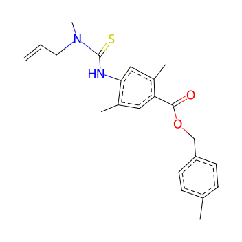 C=CCN(C)C(=S)Nc1cc(C)c(C(=O)OCc2ccc(C)cc2)cc1C